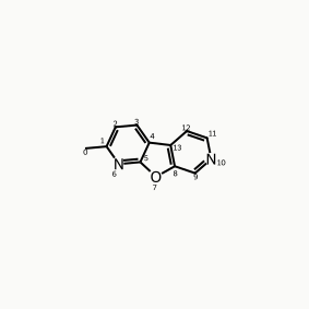 Cc1ccc2c(n1)oc1cnccc12